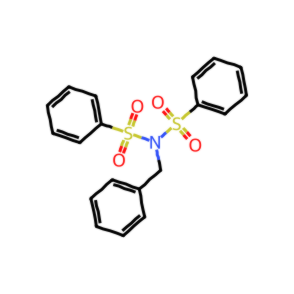 O=S(=O)(c1ccccc1)N(Cc1ccccc1)S(=O)(=O)c1ccccc1